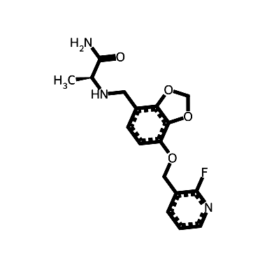 C[C@H](NCc1ccc(OCc2cccnc2F)c2c1OCO2)C(N)=O